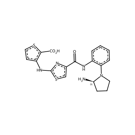 N[C@@H]1CCCN1c1ccccc1NC(=O)c1csc(Nc2ccsc2C(=O)O)n1